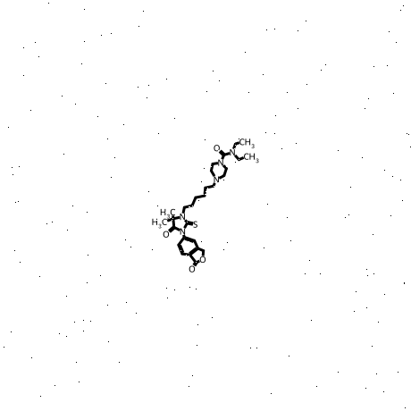 CCN(CC)C(=O)N1CCN(CCCCCCN2C(=S)N(c3ccc4c(c3)COC4=O)C(=O)C2(C)C)CC1